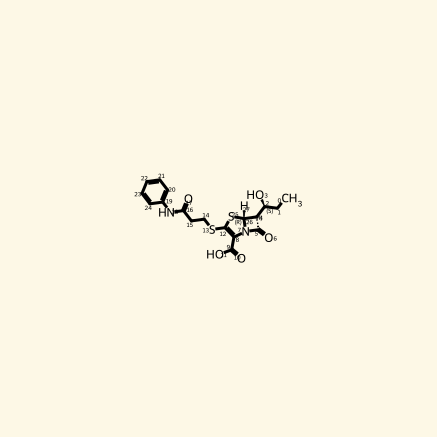 CC[C@H](O)[C@@H]1C(=O)N2C(C(=O)O)=C(SCCC(=O)Nc3ccccc3)S[C@H]12